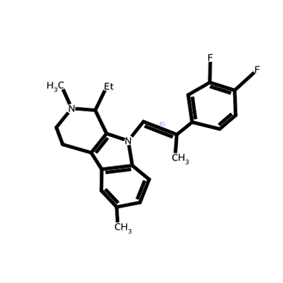 CCC1c2c(c3cc(C)ccc3n2/C=C(\C)c2ccc(F)c(F)c2)CCN1C